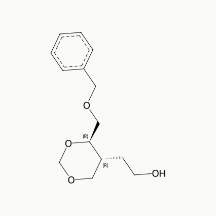 OCC[C@@H]1COCO[C@H]1COCc1ccccc1